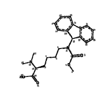 COC(=O)N(CCCC[C@@H](C(=O)O)N(C)C)C1c2ccccc2-c2ccccc21